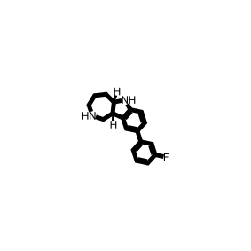 Fc1cccc(-c2ccc3c(c2)[C@@H]2CNCCC[C@@H]2N3)c1